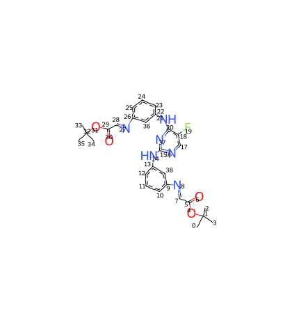 CC(C)(C)OC(=O)/C=N/c1cccc(Nc2ncc(F)c(Nc3cccc(/N=C/C(=O)OC(C)(C)C)c3)n2)c1